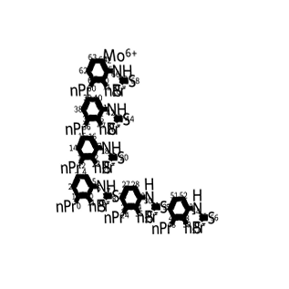 CCCc1cccc(NC(=S)[S-])c1CCC.CCCc1cccc(NC(=S)[S-])c1CCC.CCCc1cccc(NC(=S)[S-])c1CCC.CCCc1cccc(NC(=S)[S-])c1CCC.CCCc1cccc(NC(=S)[S-])c1CCC.CCCc1cccc(NC(=S)[S-])c1CCC.[Mo+6]